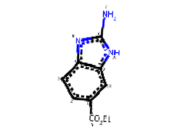 CCOC(=O)c1ccc2nc(N)[nH]c2c1